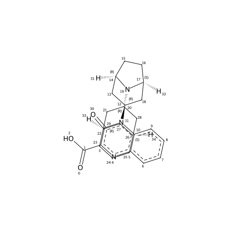 O=C(O)c1nc2ccccc2n([C@H]2C[C@H]3CC[C@@H](C2)N3[C@H]2C[C@@H]3CCC[C@@H](C3)C2)c1=O